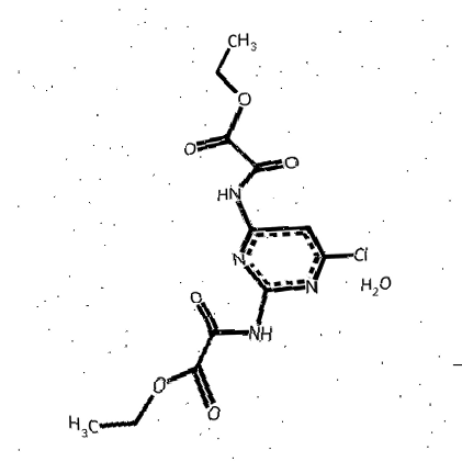 CCOC(=O)C(=O)Nc1cc(Cl)nc(NC(=O)C(=O)OCC)n1.O